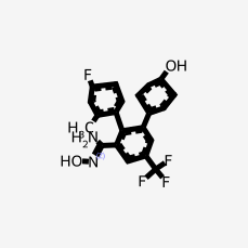 Cc1cc(F)ccc1-c1c(/C(N)=N/O)cc(C(F)(F)F)cc1-c1ccc(O)cc1